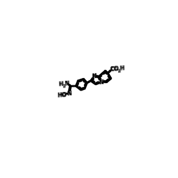 NC(=NO)c1ccc(-c2cn3ccc(C(=O)O)cc3n2)cc1